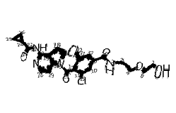 O=C(NCCOCCO)c1cc(Cl)c(C(=O)n2ccc3c(NC(=O)C4CC4)nccc32)c(Cl)c1